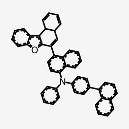 C1=CC2C=C(c3ccc(N(c4ccccc4)c4ccc(-c5cccc6ccccc56)cc4)c4ccccc34)c3oc4ccccc4c3C2C=C1